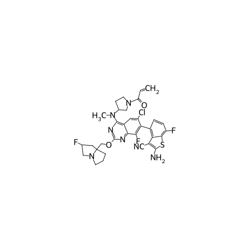 C=CC(=O)N1CCC(N(C)c2nc(OCC34CCCN3CC(F)C4)nc3c(F)c(-c4ccc(F)c5sc(N)c(C#N)c45)c(Cl)cc23)C1